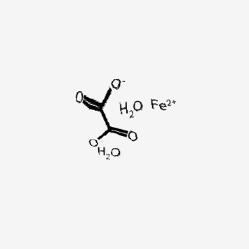 O.O.O=C([O-])C(=O)[O-].[Fe+2]